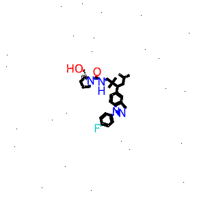 CC(C)CC(c1ccc2c(cnn2-c2ccc(F)cc2)c1)C(C)(C)CNC(=O)N1CCC[C@@H]1CO